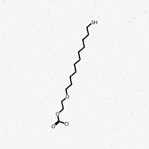 O=C(Cl)OCCOCCCCCCCCCCCS